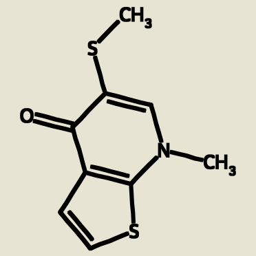 CSc1cn(C)c2sccc2c1=O